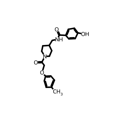 Cc1ccc(OCC(=O)N2CCC(CNC(=O)c3ccc(O)cc3)CC2)cc1